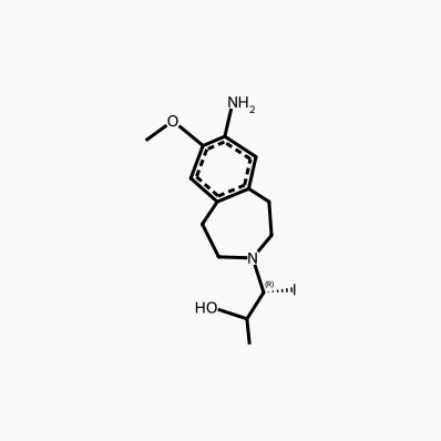 COc1cc2c(cc1N)CCN([C@H](I)C(C)O)CC2